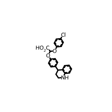 O=C(O)C(Oc1ccc(Cl)cc1)Oc1ccc(C2CCNc3ccccc32)cc1